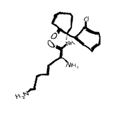 NCCCC[C@H](N)C(=O)N[C@@]1(c2ccccc2Cl)CCCCC1=O